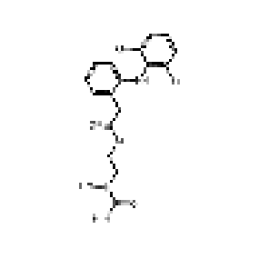 NC(=O)N(O)CCNC(=O)Cc1ccccc1Nc1c(Cl)cccc1Cl